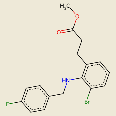 COC(=O)CCc1cccc(Br)c1NCc1ccc(F)cc1